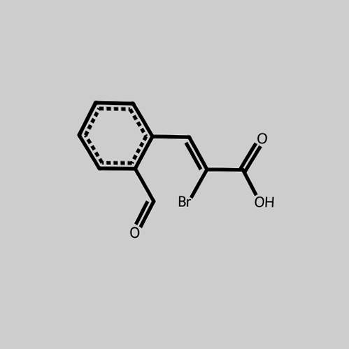 O=Cc1ccccc1C=C(Br)C(=O)O